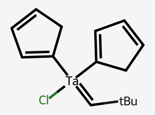 CC(C)(C)[CH]=[Ta]([Cl])([C]1=CC=CC1)[C]1=CC=CC1